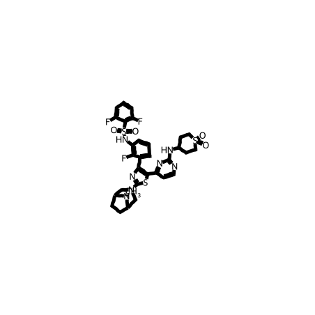 CN1C2CCC1CN(c1nc(-c3cccc(NS(=O)(=O)c4c(F)cccc4F)c3F)c(-c3ccnc(NC4CCS(=O)(=O)CC4)n3)s1)C2